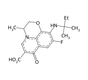 CCC(C)(C)Nc1c(F)cc2c(=O)c(C(=O)O)cn3c2c1OCC3C